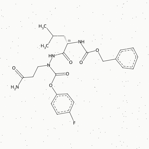 CC(C)C[C@H](NC(=O)OCc1ccccc1)C(=O)NN(CCC(N)=O)C(=O)Oc1ccc(F)cc1